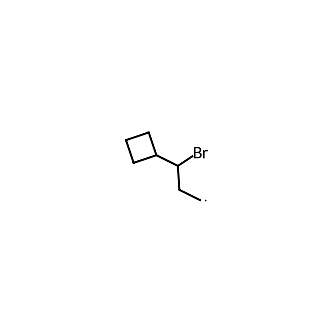 [CH2]CC(Br)C1CCC1